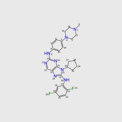 CN1CCN(c2ccc(Nc3ncc4nc(Nc5cc(F)ccc5F)n(C5CCCC5)c4n3)cc2)CC1